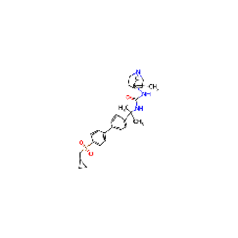 CC(C)(NC(=O)NC1(C)CN2CCC1CC2)c1ccc(-c2ccc(S(=O)(=O)CC3CC3)cc2)cc1